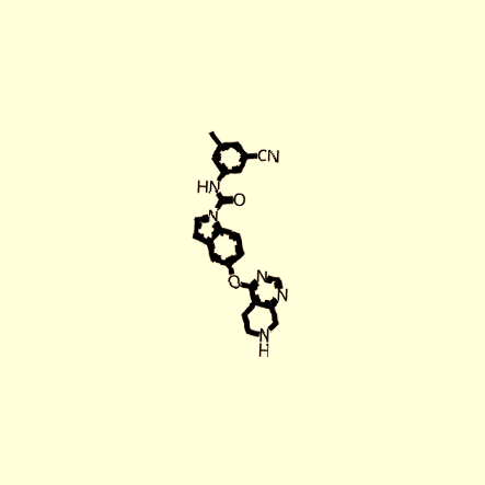 Cc1cc(C#N)cc(NC(=O)n2ccc3cc(Oc4ncnc5c4CCNC5)ccc32)c1